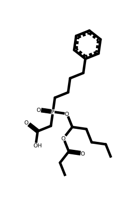 CCCCC(OC(=O)CC)OP(=O)(CCCCc1ccccc1)CC(=O)O